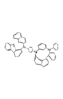 c1ccc(-n2c3cccc(c3)n(-c3ccc(N(c4ccc5ccccc5c4)c4cccc5c4sc4ccccc45)cc3)c3ccc4cccc(c4c3)c3ccccc32)cc1